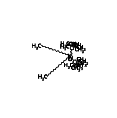 CCCCCCCCCCCCCCCCCCN(C(=O)CCCCCCCCCCCCCCCCC)C(CCc1cc(C(C)(C)C)c(O)c(C(C)(C)C)c1)CCc1cc(C(C)(C)C)c(O)c(C(C)(C)C)c1